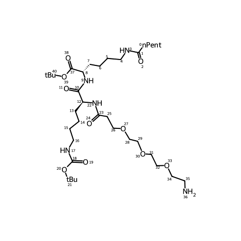 CCCCCC(=O)NCCCC[C@H](NC(=O)[C@H](CCCCNC(=O)OC(C)(C)C)NC(=O)CCOCCOCCOCCN)C(=O)OC(C)(C)C